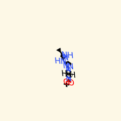 CC(C)(C)OC(=O)N1C[C@@H]2CN(c3nccc(Nc4cc(C5CC5)[nH]n4)n3)C[C@H]2C1